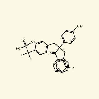 CSc1ccc(C(Cc2cc[c]cc2)(Cc2ccc(C(F)(F)P(=O)(O)O)cc2)C(=O)c2cccc(F)c2)cc1